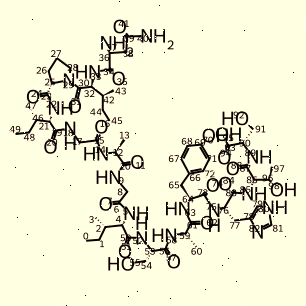 CC[C@H](C)[C@H](NC(=O)CNC(=O)[C@H](C)NC(=O)CNC(=O)[C@@H](NC(=O)[C@@H]1CCCN1C(=O)[C@@H](NC(=O)[C@@H](N)CC(N)=O)[C@@H](C)CC)[C@@H](C)CC)C(=O)N[C@@H](CO)C(=O)N[C@@H](C)C(=O)N[C@@H](Cc1ccc(O)cc1)C(=O)N[C@@H](Cc1c[nH]cn1)C(=O)N[C@H](C(=O)N[C@@H](CO)C(=O)O)[C@@H](C)O